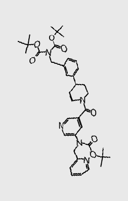 CC(C)(C)OC(=O)N(Cc1cccc(C2CCN(C(=O)c3cncc(N(Cc4ccccn4)C(=O)OC(C)(C)C)c3)CC2)c1)C(=O)OC(C)(C)C